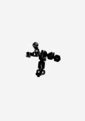 CC(C)(C)OC(=O)N1CC2CC(c3cc(N(COCC[Si](C)(C)C)COCC[Si](C)(C)C)n4ncc(-c5ccc(-c6ccccc6)nc5)c4n3)CC(C1)N2